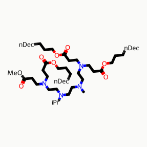 CCCCCCCCCCCCCOC(=O)CCN(CCC(=O)OCCCCCCCCCCCCC)CCN(C)CCN(CCN(CCC(=O)OC)CCC(=O)OCCCCCCCCCCCCC)C(C)C